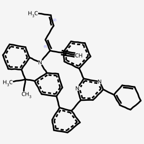 C#C/C(=C\C=C/C)N1c2ccccc2C(C)(C)c2cc(-c3ccccc3-c3cc(C4=CCCC=C4)nc(-c4ccccc4)n3)ccc21